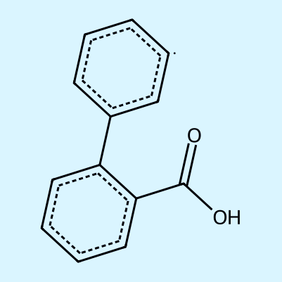 O=C(O)c1ccccc1-c1c[c]ccc1